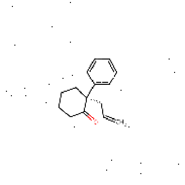 C=CC[C@@]1(c2ccccc2)CCCCC1=O